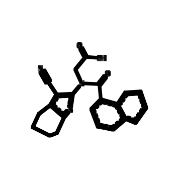 N#Cc1c(N(CC(=O)O)C(=O)c2cccc3ccccc23)sc2c1CCCC2